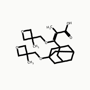 CC(C(=O)O)=C(OCC1(C)COC1)C12CC3CC(CC(OCC4(C)COC4)(C3)C1)C2